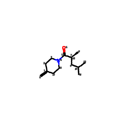 C=C1CCN(C(=O)[C@@H](C)CC(C)C)CC1